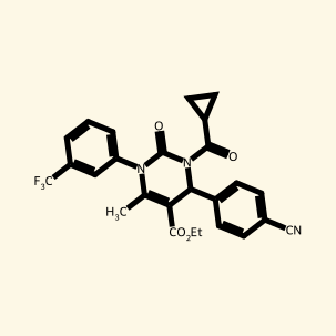 CCOC(=O)C1=C(C)N(c2cccc(C(F)(F)F)c2)C(=O)N(C(=O)C2CC2)C1c1ccc(C#N)cc1